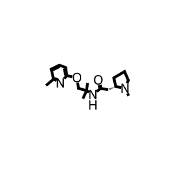 Cc1cccc(OCC(C)(C)NC(=O)C[C@@H]2CCCN2C)n1